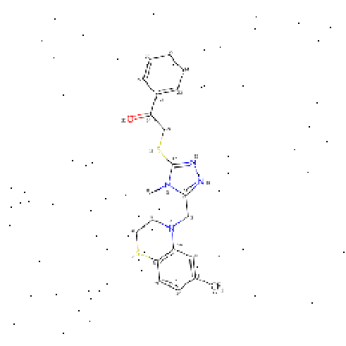 Cn1c(CN2CCSc3ccc(C(F)(F)F)cc32)nnc1SCC(=O)C1=CCCC=C1